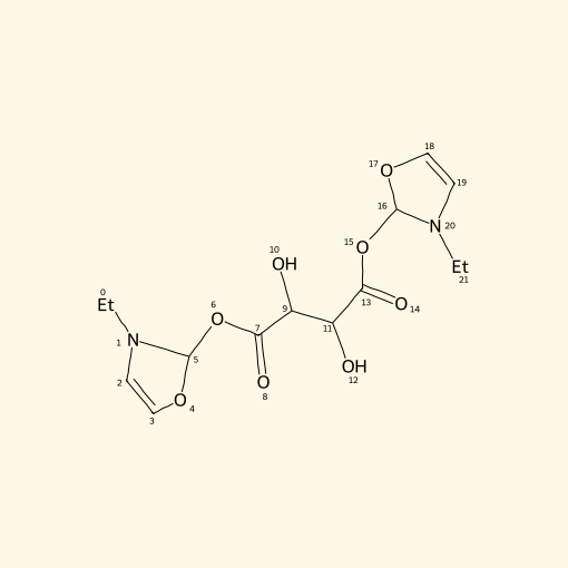 CCN1C=COC1OC(=O)C(O)C(O)C(=O)OC1OC=CN1CC